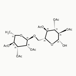 CC(=O)O[C@@H]1[C@@H](OC(C)=O)[C@H](C)O[C@@H](OC[C@H]2O[C@@H](O)[C@H](OC(C)=O)[C@@H](OC(C)=O)[C@@H]2OC(C)=O)[C@@H]1OC(C)=O